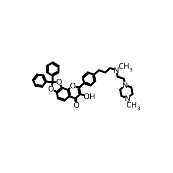 CN(CCCc1ccc(-c2oc3c4c(ccc3c(=O)c2O)OC(c2ccccc2)(c2ccccc2)O4)cc1)CCN1CCN(C)CC1